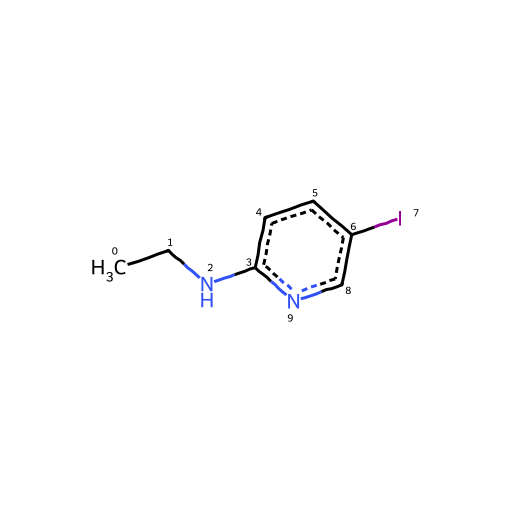 CCNc1ccc(I)cn1